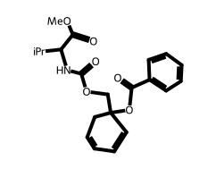 COC(=O)C(NC(=O)OCC1(OC(=O)c2ccccc2)C=CC=CC1)C(C)C